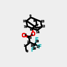 CCC(C(=O)OC12CC3CC(CC(C3)C1)C2)C(F)(F)F